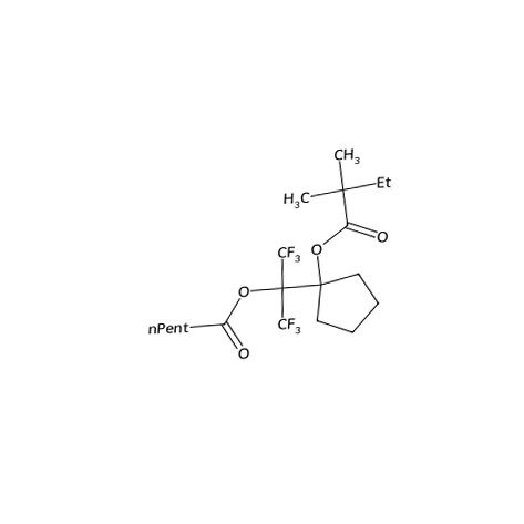 CCCCCC(=O)OC(C(F)(F)F)(C(F)(F)F)C1(OC(=O)C(C)(C)CC)CCCC1